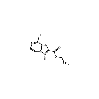 CCOC(=O)c1nc2c(Cl)nccn2c1Br